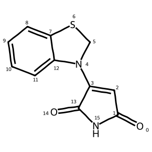 O=C1C=C(N2CSc3ccccc32)C(=O)N1